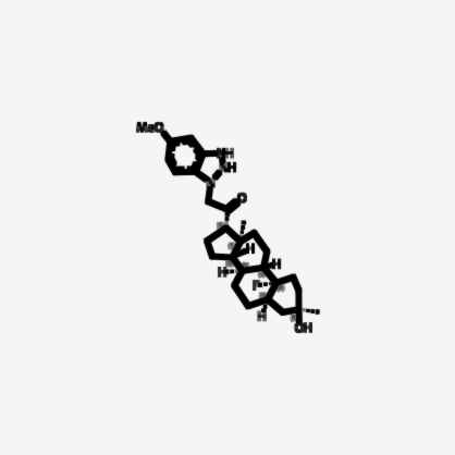 COc1ccc2c(c1)NNN2CC(=O)[C@H]1CC[C@H]2[C@@H]3CC[C@@H]4C[C@](C)(O)CC[C@]4(F)[C@H]3CC[C@]12C